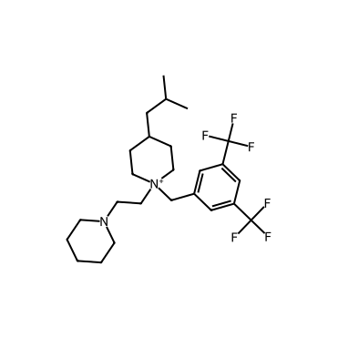 CC(C)CC1CC[N+](CCN2CCCCC2)(Cc2cc(C(F)(F)F)cc(C(F)(F)F)c2)CC1